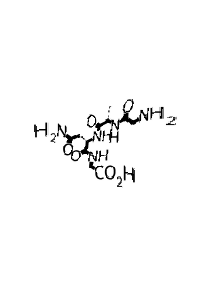 C[C@H](NC(=O)CN)C(=O)N[C@@H](CC(N)=O)C(=O)NCC(=O)O